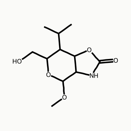 COC1OC(CO)C(C(C)C)C2OC(=O)NC12